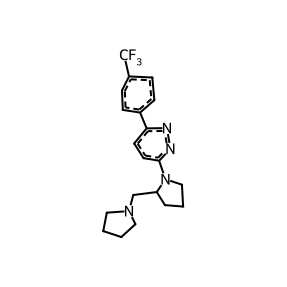 FC(F)(F)c1ccc(-c2ccc(N3CCCC3CN3CCCC3)nn2)cc1